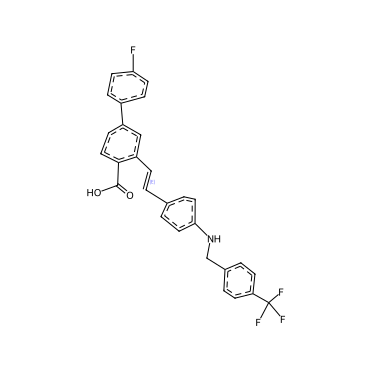 O=C(O)c1ccc(-c2ccc(F)cc2)cc1/C=C/c1ccc(NCc2ccc(C(F)(F)F)cc2)cc1